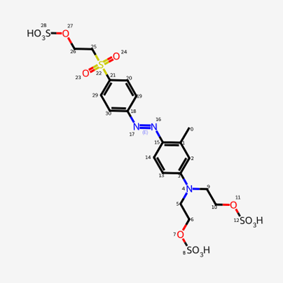 Cc1cc(N(CCOS(=O)(=O)O)CCOS(=O)(=O)O)ccc1/N=N/c1ccc(S(=O)(=O)CCOS(=O)(=O)O)cc1